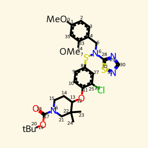 COc1ccc(CN(Sc2ccc(OC3CCN(C(=O)OC(C)(C)C)CC3(C)C)c(Cl)c2)c2ncns2)c(OC)c1